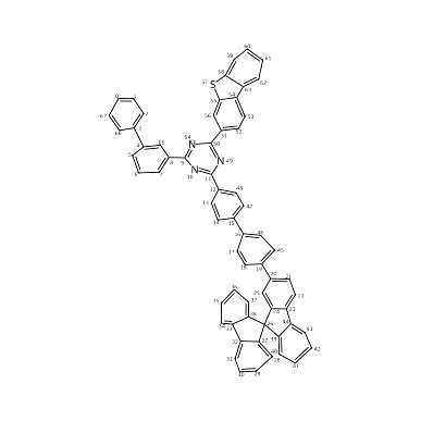 c1ccc(-c2cccc(-c3nc(-c4ccc(-c5ccc(-c6ccc7c(c6)C6(c8ccccc8-c8ccccc86)c6ccccc6-7)cc5)cc4)nc(-c4ccc5c(c4)sc4ccccc45)n3)c2)cc1